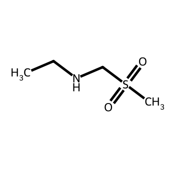 CCNCS(C)(=O)=O